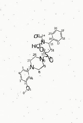 COc1cccc(N2CCN(S(=O)(=O)CC(c3ccccc3)N(O)C=O)CC2)c1